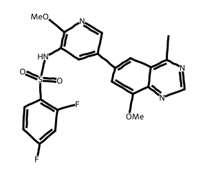 COc1ncc(-c2cc(OC)c3ncnc(C)c3c2)cc1NS(=O)(=O)c1ccc(F)cc1F